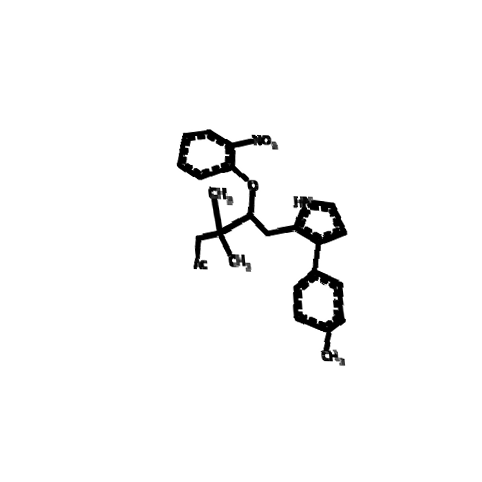 CC(=O)CC(C)(C)C(Cc1[nH]ccc1-c1ccc(C)cc1)Oc1ccccc1[N+](=O)[O-]